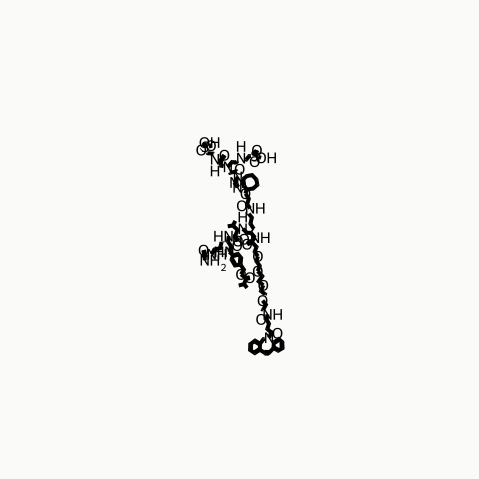 CC(C)C(=O)OCc1ccc(NC(=O)[C@H](CCCNC(N)=O)NC(=O)[C@@H](NC(=O)[C@@H](CCCCNC(=O)COC2CCCCCc3c2nnn3CCN(CC(=O)NCCS(=O)(=O)O)CC(=O)NCCS(=O)(=O)O)NC(=O)CCOCCOCCOCCOCCNC(=O)CCC(=O)N2Cc3ccccc3C#Cc3ccccc32)C(C)C)cc1